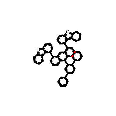 c1ccc(-c2ccc(-c3ccccc3)c(-c3c4cccc(-c5cccc6oc7ccccc7c56)c4cc4c(-c5cccc6oc7ccccc7c56)cccc34)c2)cc1